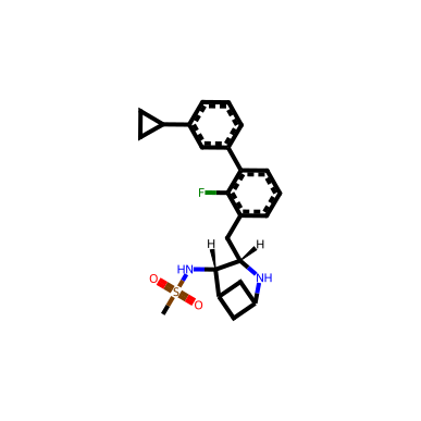 CS(=O)(=O)N[C@H]1C2CC(C2)N[C@H]1Cc1cccc(-c2cccc(C3CC3)c2)c1F